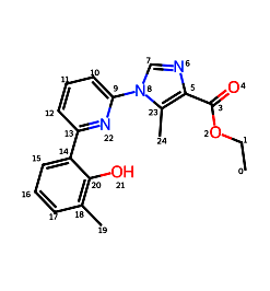 CCOC(=O)c1ncn(-c2cccc(-c3cccc(C)c3O)n2)c1C